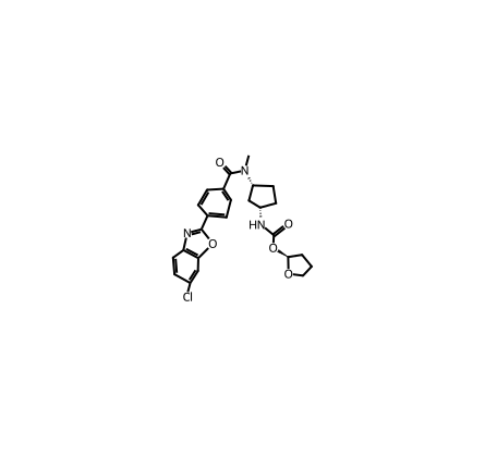 CN(C(=O)c1ccc(-c2nc3ccc(Cl)cc3o2)cc1)[C@@H]1CC[C@H](NC(=O)O[C@H]2CCCO2)C1